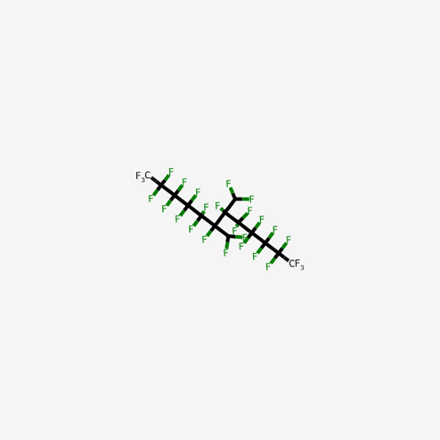 FC(F)C(F)(C(F)(F)C(F)(F)C(F)(F)C(F)(F)C(F)(F)F)C(F)(C(F)F)C(F)(F)C(F)(F)C(F)(F)C(F)(F)C(F)(F)F